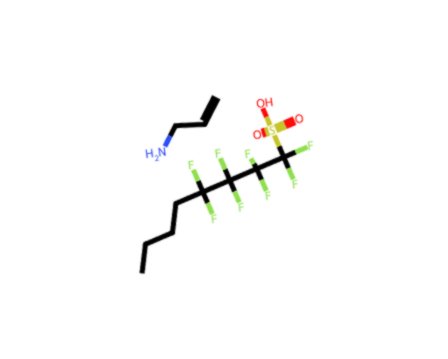 C=CCN.CCCCC(F)(F)C(F)(F)C(F)(F)C(F)(F)S(=O)(=O)O